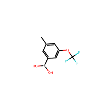 Cc1cc(OC(F)(F)F)cc(B(O)O)c1